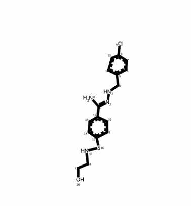 N/C(=N\NCc1ccc(Cl)cc1)c1ccc(SNCCO)cc1